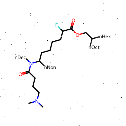 CCCCCCCCCCN(C(=O)CCCN(C)C)C(CCCCCCCCC)CCCCC(F)C(=O)OCC(CCCCCC)CCCCCCCC